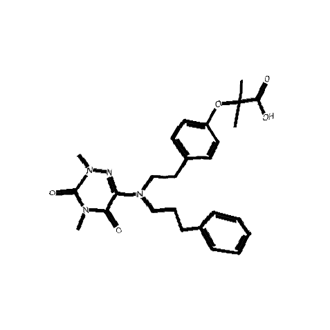 Cn1nc(N(CCCc2ccccc2)CCc2ccc(OC(C)(C)C(=O)O)cc2)c(=O)n(C)c1=O